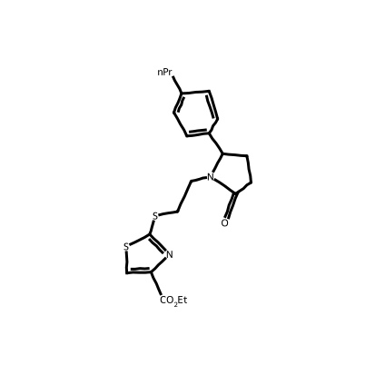 CCCc1ccc(C2CCC(=O)N2CCSc2nc(C(=O)OCC)cs2)cc1